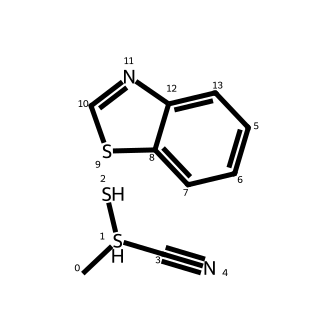 C[SH](S)C#N.c1ccc2scnc2c1